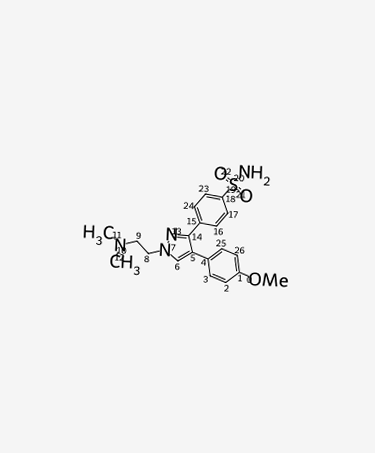 COc1ccc(-c2cn(CCN(C)C)nc2-c2ccc(S(N)(=O)=O)cc2)cc1